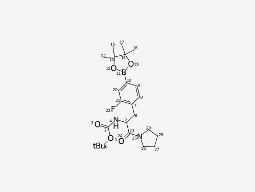 CC(C)(C)OC(=O)NC(Cc1ccc(B2OC(C)(C)C(C)(C)O2)cc1F)C(=O)N1CCCC1